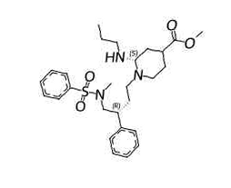 CCCN[C@@H]1CC(C(=O)OC)CCN1CC[C@@H](CN(C)S(=O)(=O)c1ccccc1)c1ccccc1